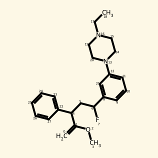 C=C(OC)C(CC(F)c1cccc(N2CCN(CC)CC2)c1)c1ccccc1